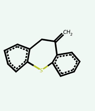 C=C1Cc2ccccc2Sc2ccccc21